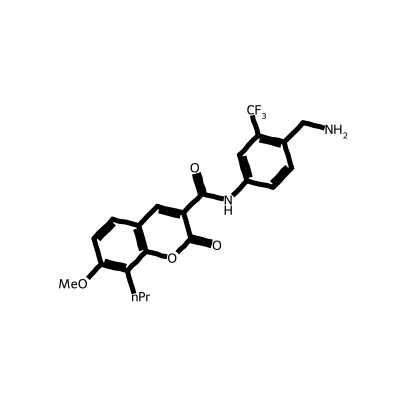 CCCc1c(OC)ccc2cc(C(=O)Nc3ccc(CN)c(C(F)(F)F)c3)c(=O)oc12